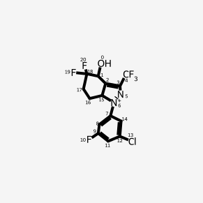 OC1C2=C(C(F)(F)F)N=[N+](c3cc(F)cc(Cl)c3)C2CCC1(F)F